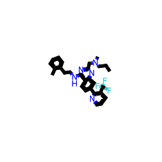 CCCN(C)Cc1nc(NCCc2ccccc2C)c2ccc(-c3ncccc3C(F)(F)F)cc2n1